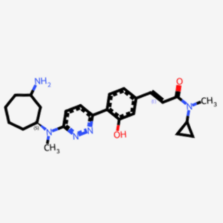 CN(C(=O)/C=C/c1ccc(-c2ccc(N(C)[C@H]3CCCCC(N)C3)nn2)c(O)c1)C1CC1